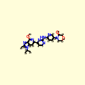 COc1nc(-c2ccnc(Nc3ccc(N4CCOCC4=O)cn3)n2)cc2c1nc(C)n2C(C)C